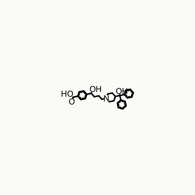 O=C(O)c1ccc(C(O)CCCN2CCC(C(O)(c3ccccc3)c3ccccc3)CC2)cc1